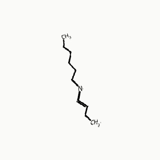 [CH2]CC=C[N]CCCCCC